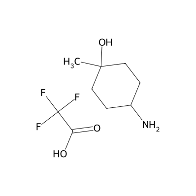 CC1(O)CCC(N)CC1.O=C(O)C(F)(F)F